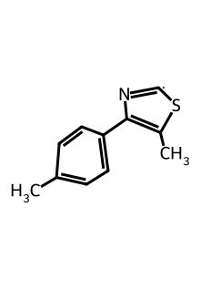 Cc1ccc(-c2n[c]sc2C)cc1